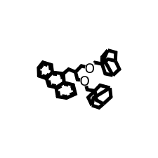 c1ccc2c(CC(COCC34CC5CC(CC(C5)C3)C4)COCC34CC5CC(CC(C5)C3)C4)c3ccccc3cc2c1